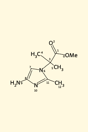 COC(=O)C(C)(C)n1cc(N)nc1C